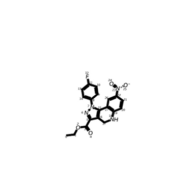 CCOC(=O)c1nn(-c2ccc(F)cc2)c2c1CNc1ccc([N+](=O)[O-])cc1-2